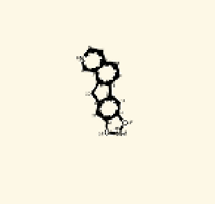 c1cc2ccc3c(c2cn1)Cc1cc2c(cc1-3)ONO2